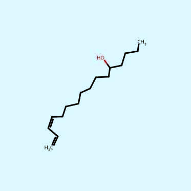 C=C/C=C\CCCCCCCC(O)CCCC